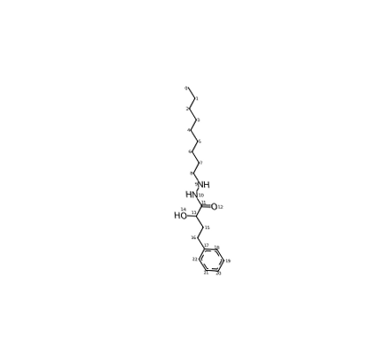 CCCCCCCCCNNC(=O)C(O)CCc1ccccc1